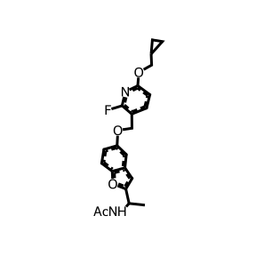 CC(=O)NC(C)c1cc2cc(OCc3ccc(OCC4CC4)nc3F)ccc2o1